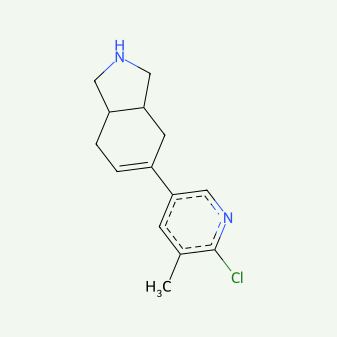 Cc1cc(C2=CCC3CNCC3C2)cnc1Cl